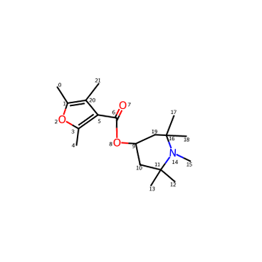 Cc1oc(C)c(C(=O)OC2CC(C)(C)N(C)C(C)(C)C2)c1C